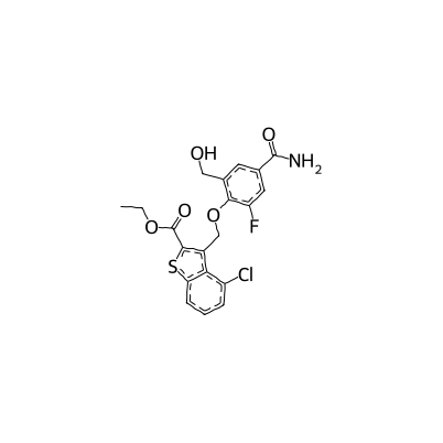 CCOC(=O)c1sc2cccc(Cl)c2c1COc1c(F)cc(C(N)=O)cc1CO